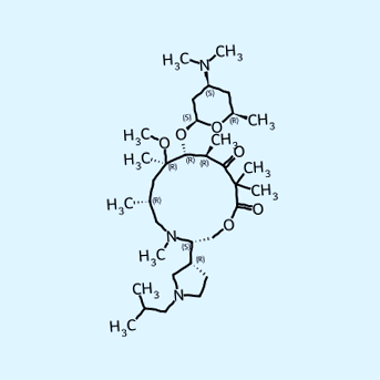 CO[C@]1(C)C[C@@H](C)CN(C)[C@@H]([C@@H]2CCN(CC(C)C)C2)COC(=O)C(C)(C)C(=O)[C@H](C)[C@H]1O[C@H]1C[C@@H](N(C)C)C[C@@H](C)O1